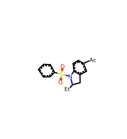 CCC1Cc2cc(C(C)=O)ccc2N1S(=O)(=O)c1ccccc1